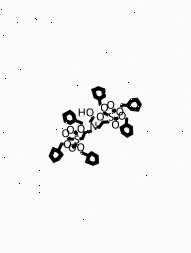 O=C(OCc1ccccc1)S(CCCN(CCO)CCCS(C(=O)OCc1ccccc1)(C(=O)OCc1ccccc1)C(=O)OCc1ccccc1)(C(=O)OCc1ccccc1)C(=O)OCc1ccccc1